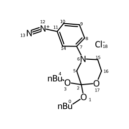 CCCCOC1(OCCCC)CN(c2cccc([N+]#N)c2)CCO1.[Cl-]